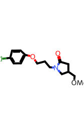 COCC1CC(=O)N(CCCOc2ccc(Cl)cc2)C1